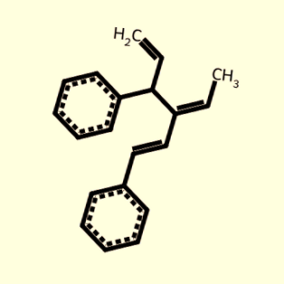 C=CC(C(C=Cc1ccccc1)=CC)c1ccccc1